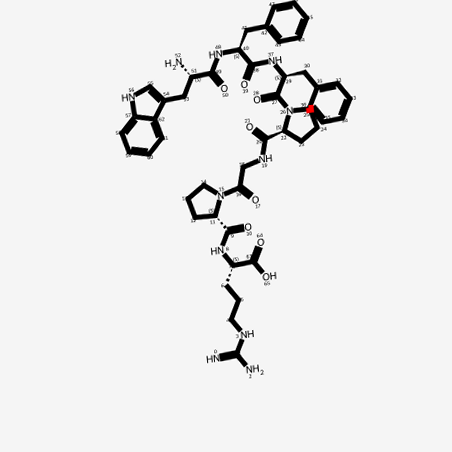 N=C(N)NCCC[C@H](NC(=O)[C@@H]1CCCN1C(=O)CNC(=O)[C@@H]1CCCN1C(=O)[C@H](Cc1ccccc1)NC(=O)[C@H](Cc1ccccc1)NC(=O)[C@@H](N)Cc1c[nH]c2ccccc12)C(=O)O